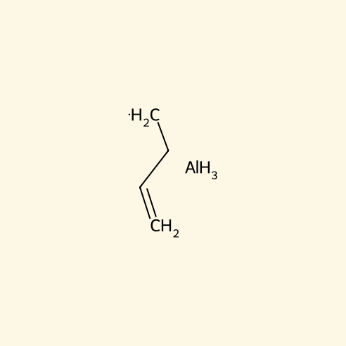 [AlH3].[CH2]CC=C